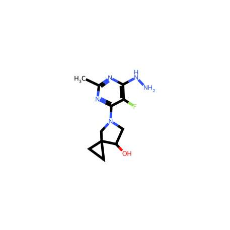 Cc1nc(NN)c(F)c(N2CC(O)C3(CC3)C2)n1